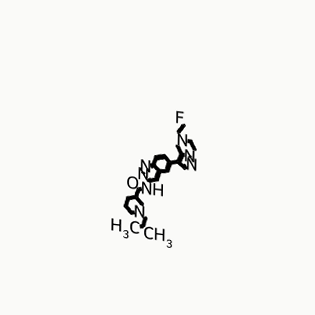 CC(C)CN1CCCC(C(=O)Nc2cc3cc(-c4cnn5c4CN(CCF)CC5)ccc3nn2)C1